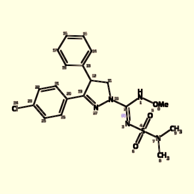 CON/C(=N\S(=O)(=O)N(C)C)N1CC(c2ccccc2)C(c2ccc(Cl)cc2)=N1